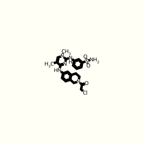 CC1=CN(C)C(Nc2cccc(S(N)(=O)=O)c2)N=C1Nc1ccc2c(c1)CCN(C(=O)CCl)C2